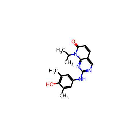 Cc1cc(Nc2ncc3ccc(=O)n(C(C)C)c3n2)cc(C)c1O